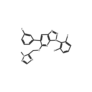 Cn1ncnc1COc1nc2c(cc1-c1cccc(F)c1)nnn2-c1c(F)cccc1F